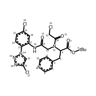 CC(C)(C)OC(=O)C(Cc1ccncc1)N(CC(=O)Nc1cc(Cl)ccc1-n1cc(Cl)nn1)C(=O)CCl